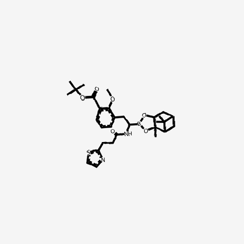 COc1c(CC(NC(=O)CCc2nccs2)B2OC3CC4CC(C4(C)C)C3(C)O2)cccc1C(=O)OC(C)(C)C